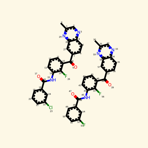 Cc1cnc2ccc(C(=O)c3cccc(NC(=O)c4cccc(Cl)c4)c3F)cc2n1.Cc1cnc2ccc(C(=O)c3cccc(NC(=O)c4cccc(F)c4)c3F)cc2n1